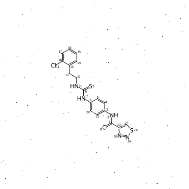 O=C(Nc1ccc(NC(=S)NCCc2ccccc2Cl)cc1)c1csnn1